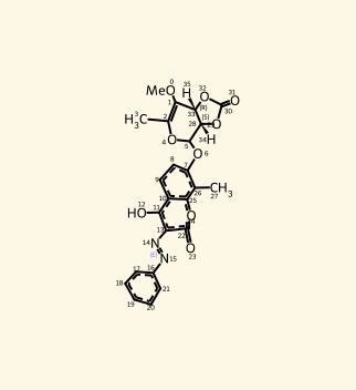 COC1=C(C)OC(Oc2ccc3c(O)c(/N=N/c4ccccc4)c(=O)oc3c2C)[C@H]2OC(=O)O[C@@H]12